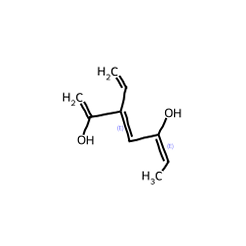 C=C/C(=C\C(O)=C/C)C(=C)O